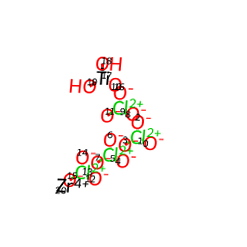 [O-][Cl+2]([O-])[O-].[O-][Cl+2]([O-])[O-].[O-][Cl+2]([O-])[O-].[O-][Cl+2]([O-])[O-].[O]=[Ti]([OH])[OH].[Zr+4]